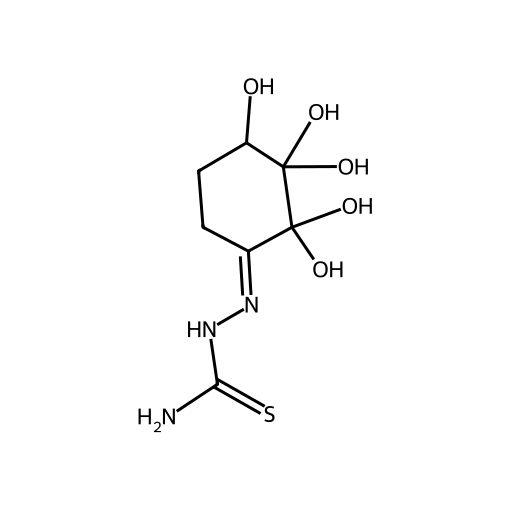 NC(=S)NN=C1CCC(O)C(O)(O)C1(O)O